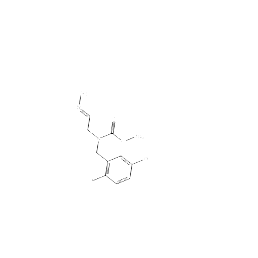 CC(C)(C)OC(=O)N(CC=NO)Cc1cc(Cl)ccc1Cl